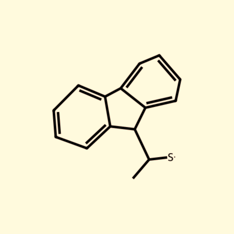 CC([S])C1c2ccccc2-c2ccccc21